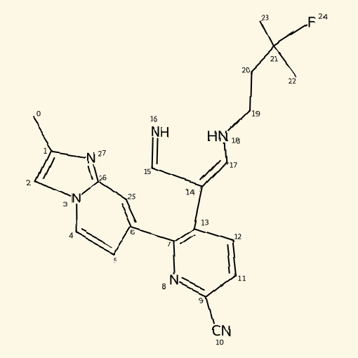 Cc1cn2ccc(-c3nc(C#N)ccc3/C(C=N)=C/NCCC(C)(C)F)cc2n1